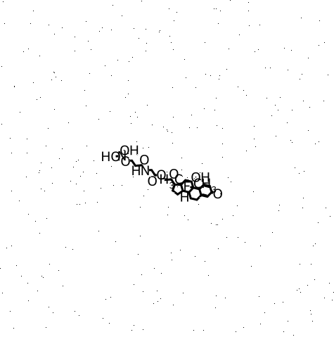 C[C@]12C[C@H](O)C3(F)[C@@H](CCC4=CC(=O)C=C[C@@]43C)C1CCC2C(=O)COC(=O)CNC(=O)CCON(O)O